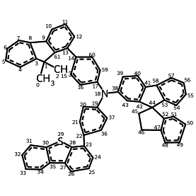 CC1(C)c2ccccc2-c2cccc(-c3ccc(N(c4ccc(-c5cccc6c5sc5ccccc56)cc4)c4ccc5c(c4)C4(CCc6ccccc64)c4ccccc4-5)cc3)c21